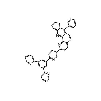 c1ccc(-c2c3ccccc3nc3c2ccc2ccc(-c4ccc(-c5cc(-c6ccccn6)cc(-c6ccccn6)c5)nc4)nc23)cc1